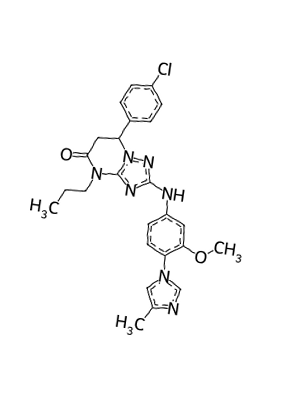 CCCN1C(=O)CC(c2ccc(Cl)cc2)n2nc(Nc3ccc(-n4cnc(C)c4)c(OC)c3)nc21